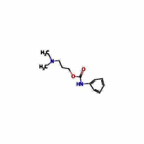 CN(C)CCCOC(=O)Nc1ccccc1